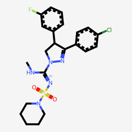 CN/C(=N\S(=O)(=O)N1CCCCC1)N1CC(c2cccc(F)c2)C(c2ccc(Cl)cc2)=N1